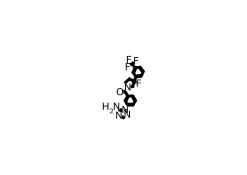 Nc1ncnn1-c1cccc(C(=O)N2CCC(F)(c3cccc(C(F)(F)F)c3)C2)c1